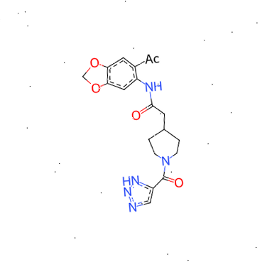 CC(=O)c1cc2c(cc1NC(=O)CC1CCN(C(=O)c3cnn[nH]3)CC1)OCO2